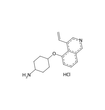 C=Cc1cncc2cccc(OC3CCC(N)CC3)c12.Cl